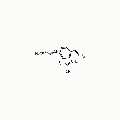 C=C(C)C#N.C=CC=C.C=Cc1ccccc1